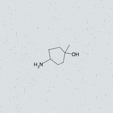 CC1(O)CCC(N)CC1